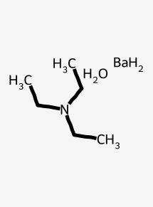 CCN(CC)CC.O.[BaH2]